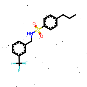 CCCc1ccc(S(=O)(=O)NCc2cccc(C(F)(F)F)c2)cc1